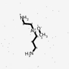 C[O-].NCC[CH2][Al+][CH2]CN